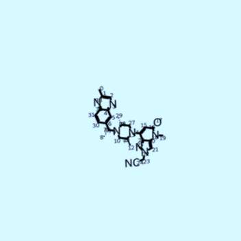 Cc1cnc2cc([C@@H](C)N3C[C@H](C)N(c4cc(=O)n(C)c5cn(CC#N)nc45)C[C@H]3C)ccc2n1